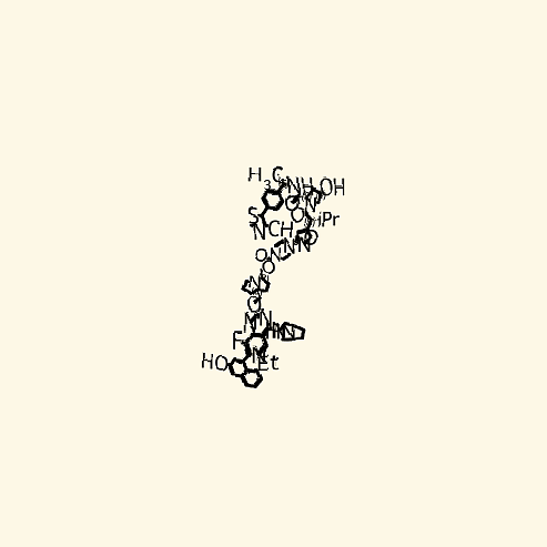 CCc1cccc2cc(O)cc(-c3ncc4c(N5CC6CCC(C5)N6)nc(OC[C@@]56CCCN5[C@@H](COC(=O)N5CCN(c7cc([C@H](C(=O)N8C[C@H](O)C[C@H]8C(=O)N[C@@H](C)c8ccc(-c9scnc9C)cc8)C(C)C)on7)CC5)CC6)nc4c3F)c12